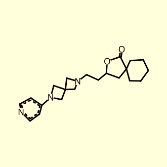 O=C1OC(CCN2CC3(C2)CN(c2ccncc2)C3)CC12CCCCC2